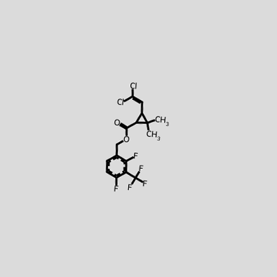 CC1(C)C(C=C(Cl)Cl)C1C(=O)OCc1ccc(F)c(C(F)(F)F)c1F